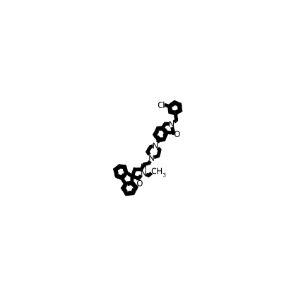 CCNC(=O)C1(CCCCN2CCN(c3ccc4c(c3)C(=O)N(Cc3cccc(Cl)c3)C4)CC2)c2ccccc2-c2ccccc21